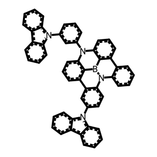 c1cc(N2c3cccc4c3B3c5c(cccc52)-c2cc(-n5c6ccccc6c6ccccc65)ccc2N3c2ccccc2-4)cc(-n2c3ccccc3c3ccccc32)c1